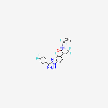 CC(F)(F)CNC(=O)C(CC(F)(F)F)c1ccc2[nH]c(C(N)C3CCC(F)(F)CC3)nc2c1F